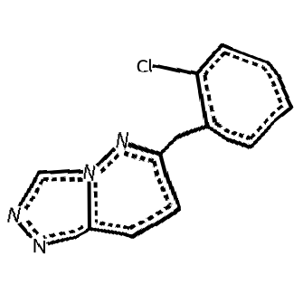 Clc1ccccc1-c1ccc2nncn2n1